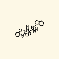 CN1C(=O)[C@@H](NC(=O)C2=NC(C3CCc4ccccc43)N=N2)COc2ccccc21